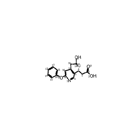 O=C(O)CCc1cnc(Oc2ccccc2)cc1CC(=O)O